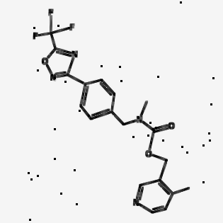 Cc1ccncc1COC(=O)N(C)Cc1ccc(-c2noc(C(F)(F)F)n2)cc1